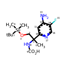 CC(CO[Si](C)(C)C(C)(C)C)(NC(=O)O)c1cc(N)c(F)cn1